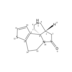 O=C1C[C@H]2CNCC[C@]23c2ccsc2CCN13